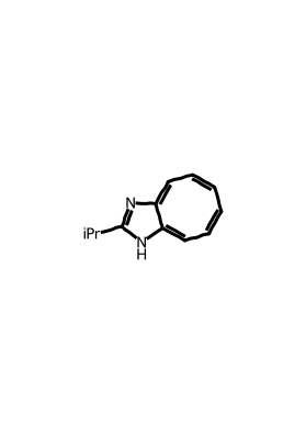 CC(C)c1nc2/c([nH]1)=C\C=C/C=C\C=2